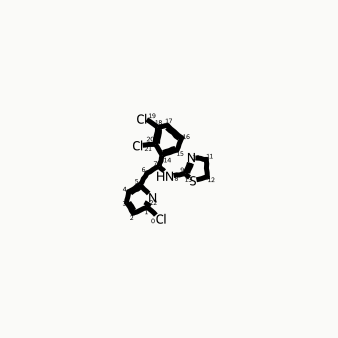 Clc1cccc(CC(NC2=NCCS2)c2cccc(Cl)c2Cl)n1